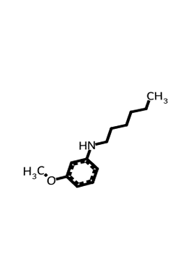 CCCCCCNc1cccc(OC)c1